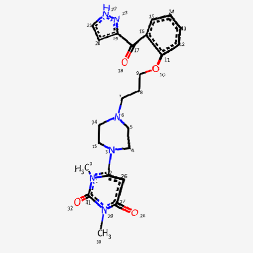 Cn1c(N2CCN(CCCOc3ccccc3C(=O)c3cc[nH]n3)CC2)cc(=O)n(C)c1=O